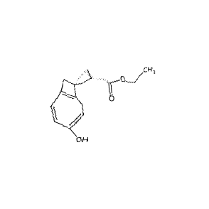 CCOC(=O)[C@H]1C[C@]12Cc1ccc(O)cc12